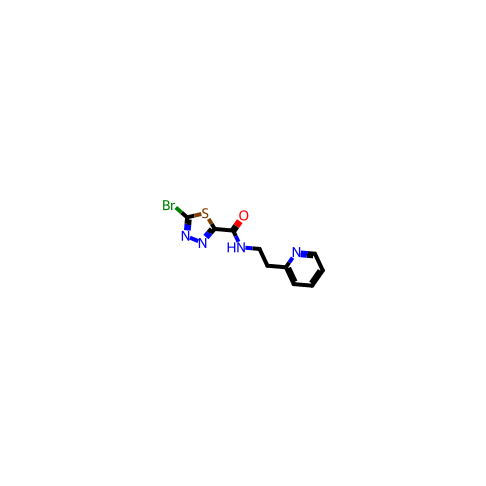 O=C(NCCc1ccccn1)c1nnc(Br)s1